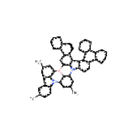 Cc1cc2c3c(c1)-n1c4ccc5c6ccccc6c6ccccc6c5c4c4c5c6ccccc6c6ccccc6c5cc(c41)B3c1cc(C)cc3c4cc(C)ccc4n-2c13